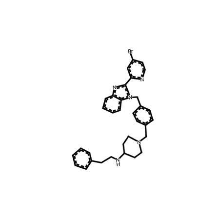 Brc1ccnc(-c2nc3ccccc3n2Cc2ccc(CN3CCC(NCCc4ccccc4)CC3)cc2)c1